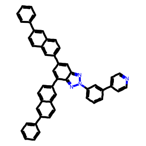 c1ccc(-c2ccc3cc(-c4cc(-c5ccc6cc(-c7ccccc7)ccc6c5)c5nn(-c6cccc(-c7ccncc7)c6)nc5c4)ccc3c2)cc1